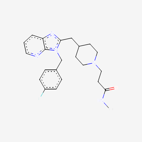 CC(C)NC(=O)CCN1CCC(Cc2nc3cccnc3n2Cc2ccc(F)cc2)CC1